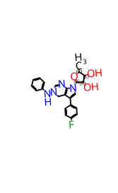 C[C@H]1O[C@@H](n2cc(-c3ccc(F)cc3)c3c2N=CN(Nc2ccccc2)C3)[C@H](O)[C@@H]1O